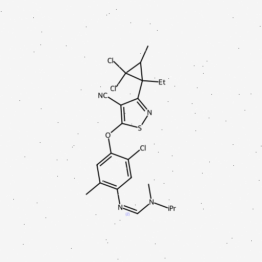 CCC1(c2nsc(Oc3cc(C)c(/N=C\N(C)C(C)C)cc3Cl)c2C#N)C(C)C1(Cl)Cl